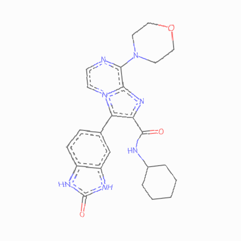 O=C(NC1CCCCC1)c1nc2c(N3CCOCC3)nccn2c1-c1ccc2[nH]c(=O)[nH]c2c1